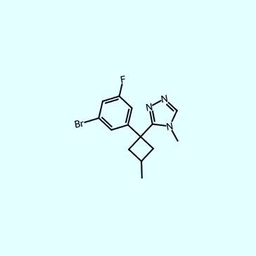 CC1CC(c2cc(F)cc(Br)c2)(c2nncn2C)C1